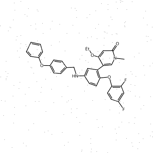 CCOc1cc(=O)n(C)cc1-c1cc(NCc2ccc(Oc3ccccc3)cc2)ccc1Oc1ccc(F)cc1F